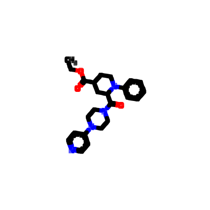 CCOC(=O)C1CCN(c2ccccc2)C(C(=O)N2CCN(c3ccncc3)CC2)C1